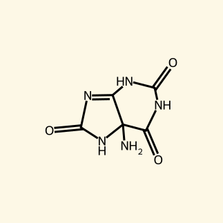 NC12NC(=O)N=C1NC(=O)NC2=O